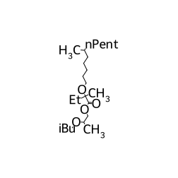 CCCCCC(C)CCCCCOC(C)(CC)C(=O)OCC(C)OC(C)CC